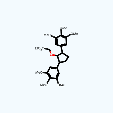 CCOC(=O)COC1C(c2cc(OC)c(OC)c(OC)c2)CCC1c1cc(OC)c(OC)c(OC)c1